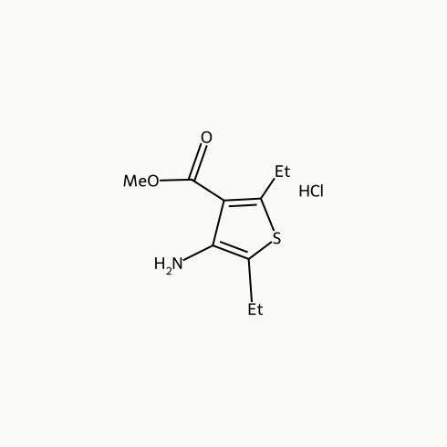 CCc1sc(CC)c(C(=O)OC)c1N.Cl